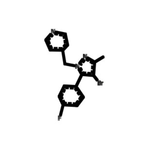 Cc1nn(Cc2ccncc2)c(-c2ccc(F)cc2)c1Br